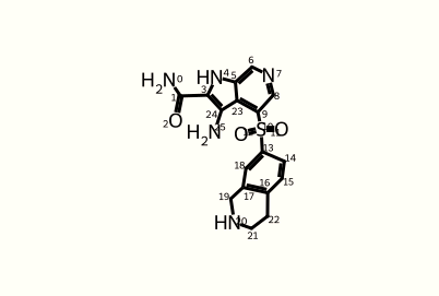 NC(=O)c1[nH]c2cncc(S(=O)(=O)c3ccc4c(c3)CNCC4)c2c1N